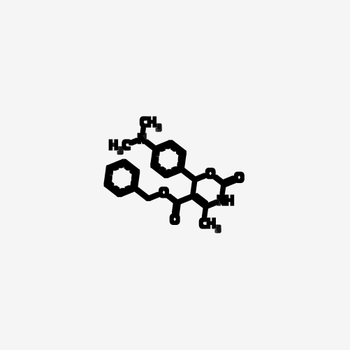 CC1=C(C(=O)OCc2ccccc2)C(c2ccc(N(C)C)cc2)OC(=O)N1